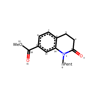 CCCCCN1C(=O)CCc2ccc(C(=O)OC)cc21